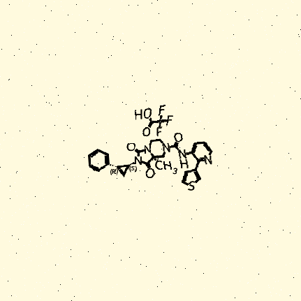 C[C@@]12CN(C(=O)Nc3cccnc3-c3ccsc3)CCN1C(=O)N([C@H]1C[C@@H]1c1ccccc1)C2=O.O=C(O)C(F)(F)F